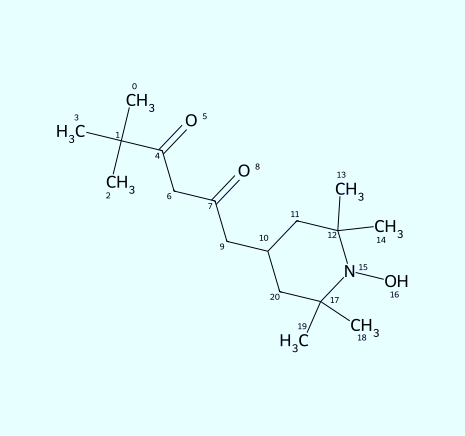 CC(C)(C)C(=O)CC(=O)CC1CC(C)(C)N(O)C(C)(C)C1